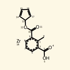 Cc1c(C(=O)O)cccc1C(=O)OC1C=CC=C1.[Zr]